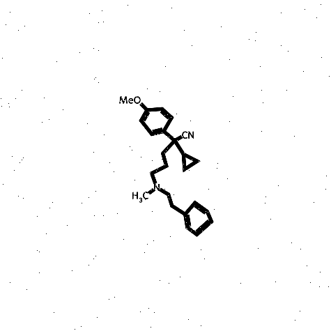 COc1ccc(C(C#N)(CCCN(C)CCc2ccccc2)C2CC2)cc1